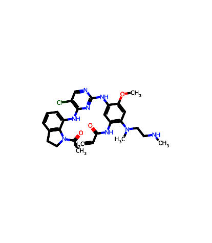 C=CC(=O)Nc1cc(Nc2ncc(Cl)c(Nc3cccc4c3N(C(C)=O)CC4)n2)c(OC)cc1N(C)CCNC